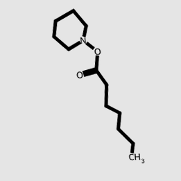 CCCCCCC(=O)ON1CCCCC1